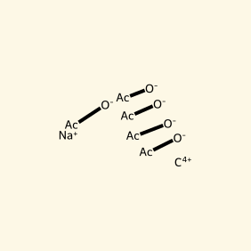 CC(=O)[O-].CC(=O)[O-].CC(=O)[O-].CC(=O)[O-].CC(=O)[O-].[C+4].[Na+]